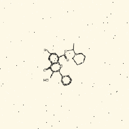 Cc1c(-c2ccccc2)oc2c(C(=O)OC(C)N3CCCCC3)cc(Br)cc2c1=O.Cl